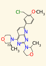 COc1ccc(-c2ccc3c(N4CCOC[C@@H]4C)nc(N4CCOCC4C)nc3n2)cc1CCl